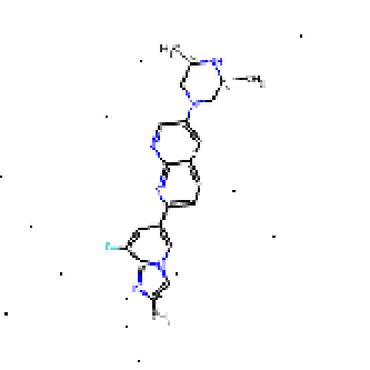 Cc1cn2cc(-c3ccc4cc(N5C[C@H](C)N[C@@H](C)C5)cnc4n3)cc(F)c2n1